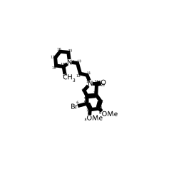 COc1cc2c(c(Br)c1OC)CN(CCCN1CCCCC1C)C2=O